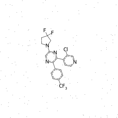 FC1(F)CCN(c2cnc(-c3ccc(C(F)(F)F)cc3)c(-c3ccncc3Cl)n2)C1